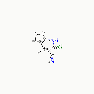 CC1=C(C#N)C(Cl)NC2=C1CCC2